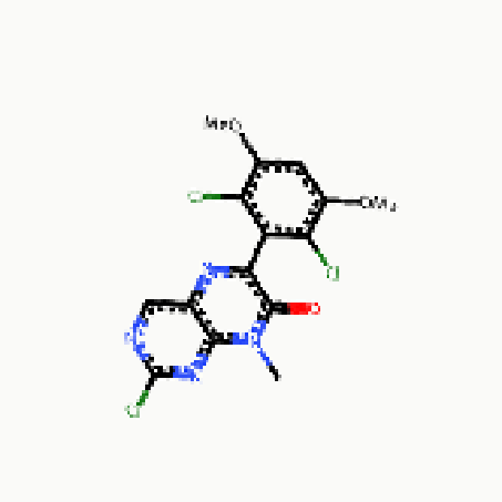 COc1cc(OC)c(Cl)c(-c2nc3cnc(Cl)nc3n(C)c2=O)c1Cl